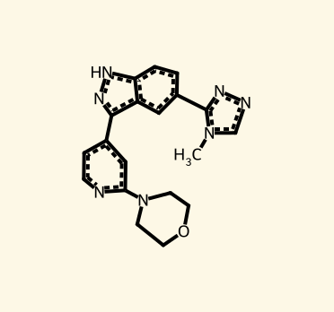 Cn1cnnc1-c1ccc2[nH]nc(-c3ccnc(N4CCOCC4)c3)c2c1